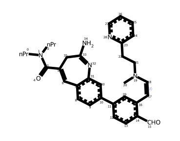 CCCN(CCC)C(=O)C1=Cc2ccc(-c3ccc(C=O)c(/C=C\N(C)CCc4ccccn4)c3)cc2N=C(N)C1